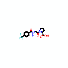 O=C(NCC(=O)N1CCC[C@H]1C(=O)O)c1ccc(C(F)(F)F)cc1